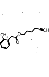 C#CCCCCOC(=O)Cc1ccccc1C